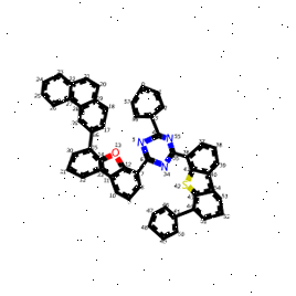 c1ccc(-c2nc(-c3cccc4c3oc3c(-c5ccc6ccc7ccccc7c6c5)cccc34)nc(-c3cccc4c3sc3c(-c5ccccc5)cccc34)n2)cc1